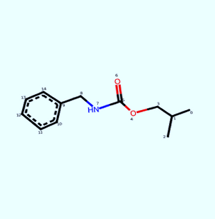 CC(C)COC(=O)NCc1ccccc1